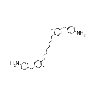 Cc1cc(Cc2ccc(N)cc2)ccc1CCCCCCCCc1ccc(Cc2ccc(N)cc2)cc1C